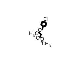 CCOC(=O)CC(C)OCc1ccc(Cl)cc1